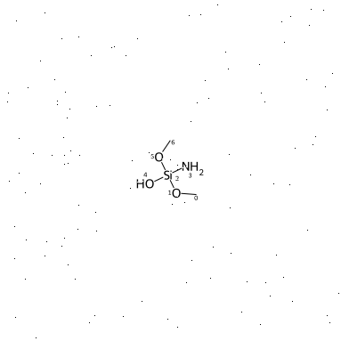 CO[Si](N)(O)OC